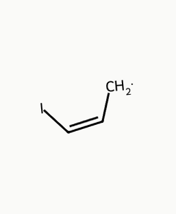 [CH2]/C=C\I